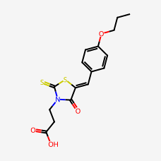 CCCOc1ccc(/C=C2\SC(=S)N(CCC(=O)O)C2=O)cc1